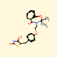 CC1(C)Oc2ccccc2C(=O)N1CCOc1ccc(CC2SC(=O)NC2=O)cc1